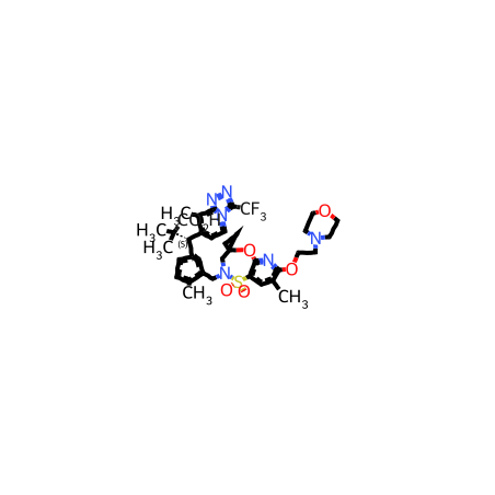 Cc1ccc([C@@H](c2ccn3c(C(F)(F)F)nnc3c2C)C(C)(C)C(=O)O)cc1CN1CC2(CC2)Oc2nc(OCCN3CCOCC3)c(C)cc2S1(=O)=O